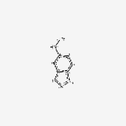 CC(C)Nc1ccc2sncc2c1